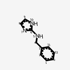 c1ccc(CNc2ncc[nH]2)cc1